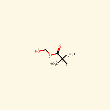 CC(C(=O)O)(C(=O)O)C(=O)OCO